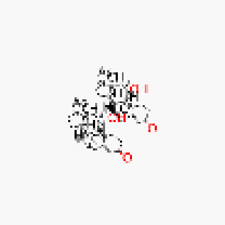 CC(=O)[C@H]1CC[C@H]2[C@@H]3CCC4=CC(=O)CC[C@]4(C)[C@H]3[C@@H](O)C[C@]12C.CC(=O)[C@H]1CC[C@H]2[C@@H]3CCC4=CC(=O)CC[C@]4(C)[C@H]3[C@@H](O)C[C@]12C